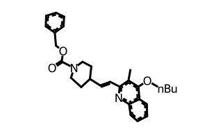 CCCCOc1c(C)c(/C=C/C2CCN(C(=O)OCc3ccccc3)CC2)nc2ccccc12